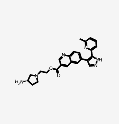 Cc1cccc(-c2[nH]ncc2-c2ccc3ncc(C(=O)OCCN4CC[C@@H](N)C4)cc3c2)n1